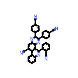 N#Cc1ccc(-c2nc3cc(C#N)c4c5ccccc5nc(-c5ccccc5C#N)c4c3nc2-c2ccc(C#N)cc2)cc1